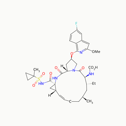 CC[C@@H]1C[C@@H](C)CCC=C[C@@H]2C[C@@]2(C(=O)NS(=O)(=O)C2(C)CC2)NC(=O)[C@@H]2C[C@@H](Oc3nc(OC)cc4cc(F)ccc34)CN2C(=O)[C@H]1NC(=O)O